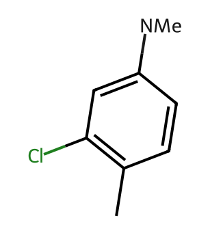 CNc1ccc(C)c(Cl)c1